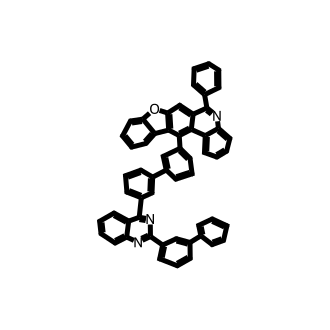 c1ccc(-c2cccc(-c3nc(-c4cccc(-c5cccc(-c6c7c(cc8c(-c9ccccc9)nc9ccccc9c68)oc6ccccc67)c5)c4)c4ccccc4n3)c2)cc1